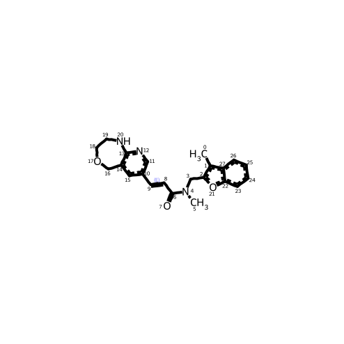 Cc1c(CN(C)C(=O)/C=C/c2cnc3c(c2)COCCN3)oc2ccccc12